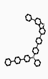 c1ccc(-c2ccc(-c3ccc(N(c4ccccc4)c4ccc(-c5ccc(-c6ccc7sc8ccc(-c9ccccc9)cc8c7c6)cc5)cc4)cc3)cc2)cc1